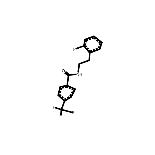 O=C(NCCc1ccccc1F)c1ccc(C(F)(F)F)cc1